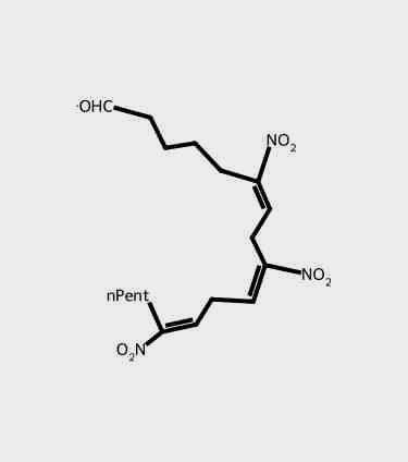 CCCCC/C(=C\C/C=C(\C/C=C(\CCCC[C]=O)[N+](=O)[O-])[N+](=O)[O-])[N+](=O)[O-]